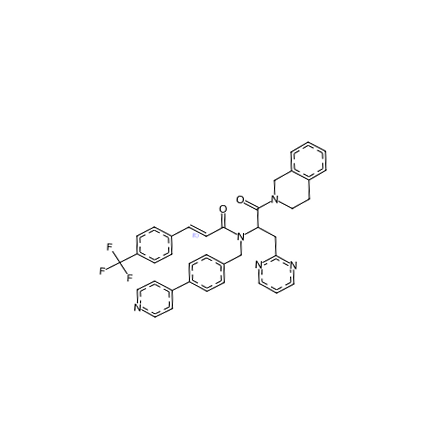 O=C(C(Cc1ncccn1)N(Cc1ccc(-c2ccncc2)cc1)C(=O)/C=C/c1ccc(C(F)(F)F)cc1)N1CCc2ccccc2C1